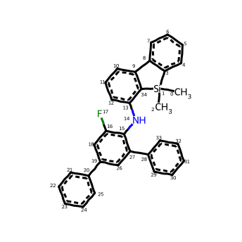 C[Si]1(C)c2ccccc2-c2cccc(Nc3c(F)cc(-c4ccccc4)cc3-c3ccccc3)c21